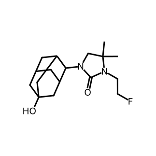 CC1(C)CN(C2C3CC4CC2CC(O)(C4)C3)C(=O)N1CCF